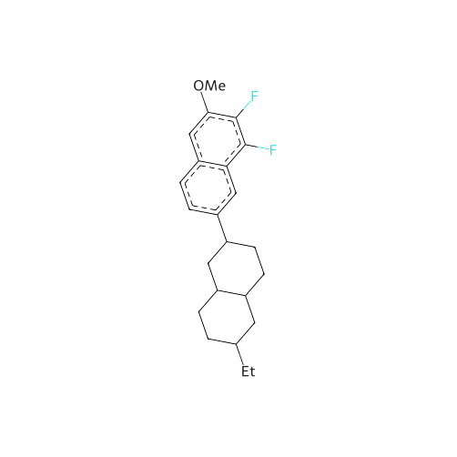 CCC1CCC2CC(c3ccc4cc(OC)c(F)c(F)c4c3)CCC2C1